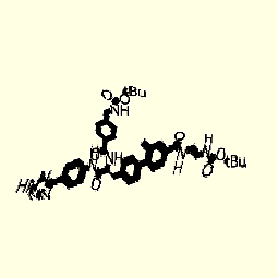 Cc1cc(C(=O)NCCNC(=O)OC(C)(C)C)ccc1-c1ccc(C[C@H](NC(=O)C2CCC(CNC(=O)OC(C)(C)C)CC2)C(=O)Nc2ccc(-c3nn[nH]n3)cc2)cc1